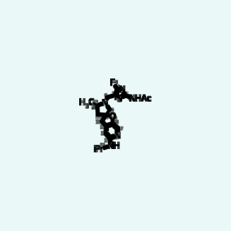 CC(=O)Nc1nc(F)c(CN2C[C@@]3(Cc4cc(NC(C)C)ncc4O3)C[C@@H]2C)s1